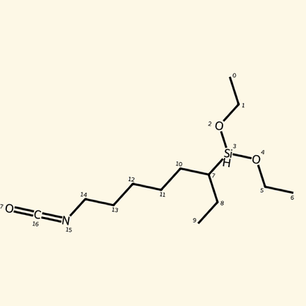 CCO[SiH](OCC)C(CC)CCCCCN=C=O